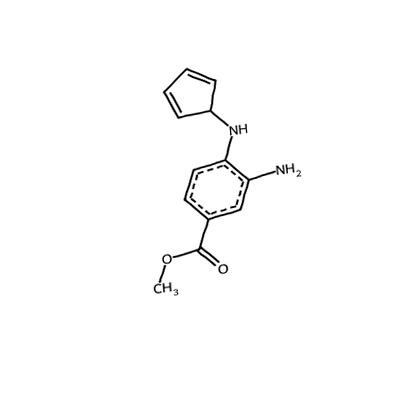 COC(=O)c1ccc(NC2C=CC=C2)c(N)c1